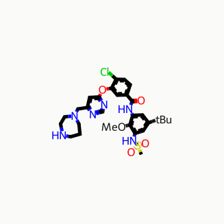 COc1c(NC(=O)c2ccc(Cl)c(Oc3cc(CN4CCCNCC4)ncn3)c2)cc(C(C)(C)C)cc1NS(C)(=O)=O